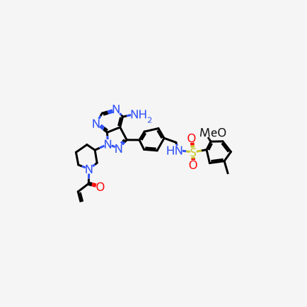 C=CC(=O)N1CCCC(n2nc(-c3ccc(CNS(=O)(=O)c4cc(C)ccc4OC)cc3)c3c(N)ncnc32)C1